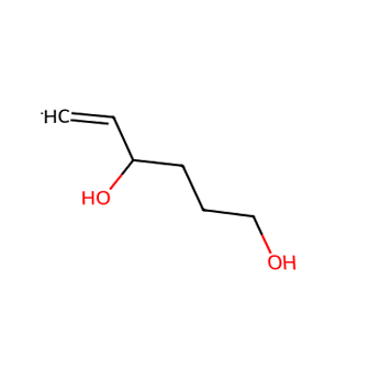 [CH]=CC(O)CCCO